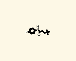 CC(C)(C)CCC(=O)Nc1ccc(F)cc1